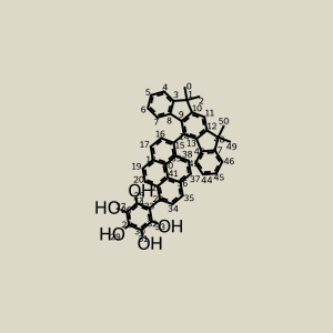 CC1(C)c2ccccc2-c2c1cc1c(c2-c2ccc3ccc4c(-c5c(O)c(O)c(O)c(O)c5O)ccc5ccc2c3c54)-c2ccccc2C1(C)C